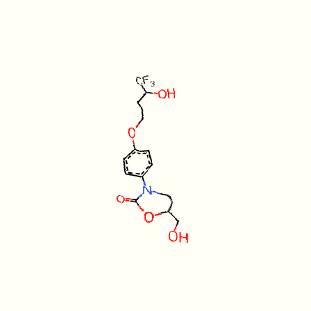 O=C1OC(CO)CN1c1ccc(OCCC(O)C(F)(F)F)cc1